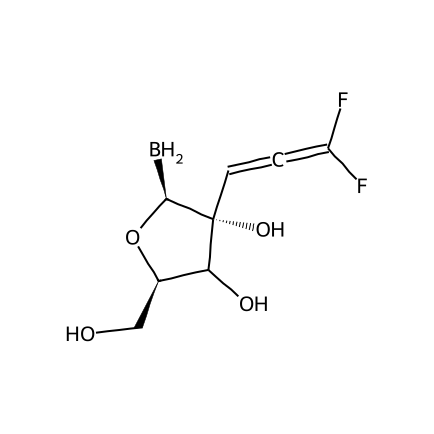 B[C@@H]1O[C@H](CO)C(O)[C@]1(O)C=C=C(F)F